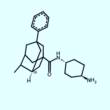 CC1C2CC3(C(=O)N[C@H]4CC[C@H](N)CC4)C[C@@H]1CC(c1ccccc1)(C2)C3